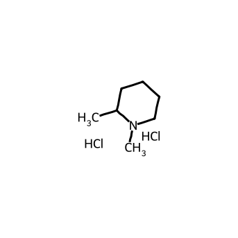 CC1CCCCN1C.Cl.Cl